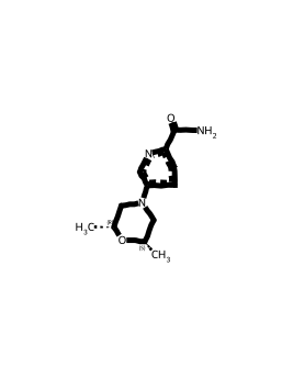 C[C@@H]1CN(c2c[c]c(C(N)=O)nc2)C[C@H](C)O1